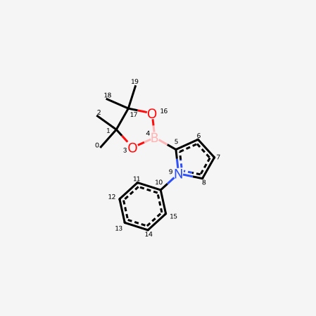 CC1(C)OB(c2cccn2-c2ccccc2)OC1(C)C